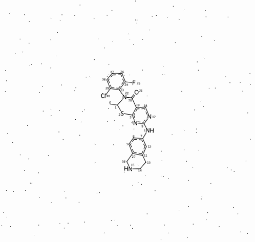 CC1Sc2nc(Nc3ccc4c(c3)CCNC4)ncc2C(=O)N1c1c(F)cccc1Cl